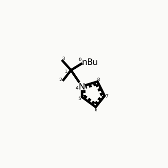 CCCCC(C)(C)n1cccc1